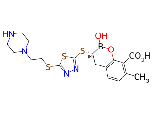 Cc1ccc2c(c1C(=O)O)OB(O)[C@@H](Sc1nnc(SCCN3CCNCC3)s1)C2